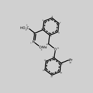 CO/N=C(/C(=O)O)c1ccccc1COc1ccccc1C(C)C